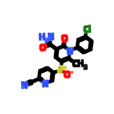 Cc1c([S+]([O-])c2ccc(C#N)nc2)cc(C(N)=O)c(=O)n1-c1cccc(Cl)c1